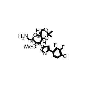 CO[C@@H]1[C@@H](n2cc(-c3ccc(Cl)c(F)c3F)nn2)[C@H]2OC(C)(C)OC[C@H]2O[C@@H]1CN